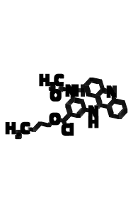 CCCCOC(Cl)c1cc(NC(C)=O)cc(Nc2c3ccccc3nc3ccccc23)c1